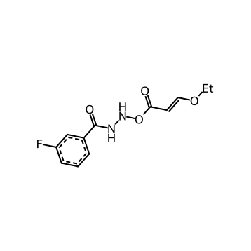 CCOC=CC(=O)ONNC(=O)c1cccc(F)c1